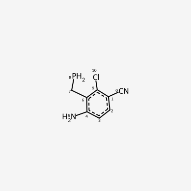 N#Cc1ccc(N)c(CP)c1Cl